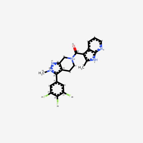 Cc1[nH]c2ncccc2c1C(=O)N1CCc2c(nn(C)c2-c2cc(F)c(F)c(F)c2)C1